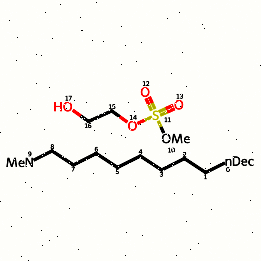 CCCCCCCCCCCCCCCCCCNC.COS(=O)(=O)OCCO